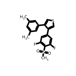 Cc1cc(C)cc(-c2cscc2-c2cc(F)c(S(C)(=O)=O)c(F)c2)c1